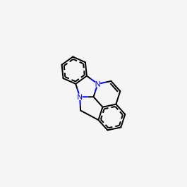 C1=CN2c3ccccc3N3Cc4cccc1c4C23